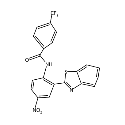 O=C(Nc1ccc([N+](=O)[O-])cc1-c1nc2ccccc2s1)c1ccc(C(F)(F)F)cc1